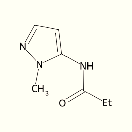 CCC(=O)Nc1ccnn1C